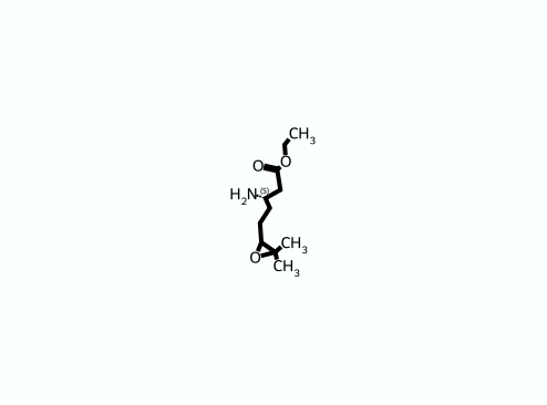 CCOC(=O)C[C@@H](N)CCC1OC1(C)C